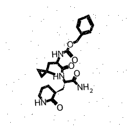 CC1(CC(NC(=O)OCc2ccccc2)C(=O)N[C@@H](C[C@@H]2CCCNC2=O)C(N)=O)CC1